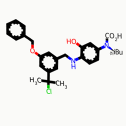 CC[C@H](C)N(C(=O)O)c1ccc(NCc2cc(OCc3ccccc3)cc(C(C)(C)Cl)c2)c(O)c1